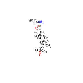 CC(CCCC(C)(C)O)C1CCC2C3CC=C4CC(OC(=O)CC(N)C(=O)O)CCC4(C)C3CCC12C